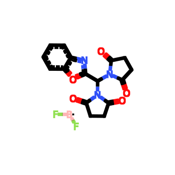 F[B]F.O=C1CCC(=O)N1C(c1nc2ccccc2o1)N1C(=O)CCC1=O